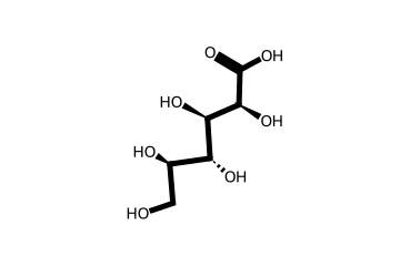 O=C(O)[C@@H](O)[C@H](O)[C@H](O)[C@H](O)CO